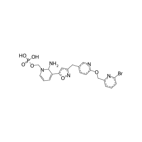 NC1C(c2cc(Cc3ccc(OCc4cccc(Br)n4)nc3)no2)=CC=CN1COP(=O)(O)O